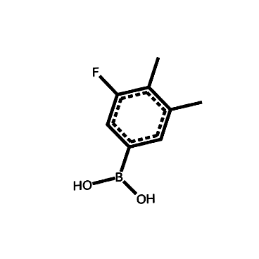 Cc1cc(B(O)O)cc(F)c1C